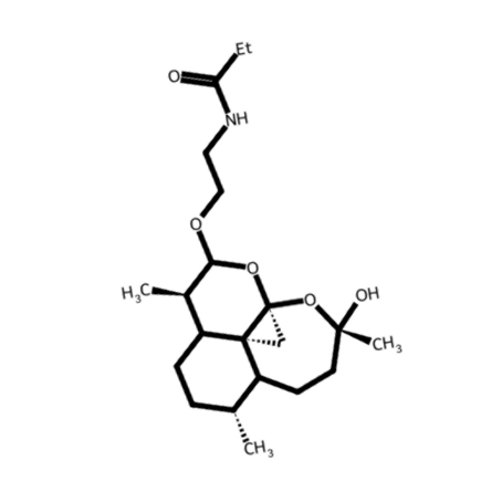 CCC(=O)NCCOC1O[C@]23C[C@]24C(CC[C@@H](C)C4CC[C@@](C)(O)O3)[C@H]1C